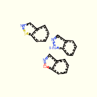 c1ccc2[nH]ncc2c1.c1ccc2oncc2c1.c1ccc2sncc2c1